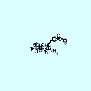 Nc1nc(CCCC2CCN(C(=O)OCC3CCOC3)CC2)nc2c1ncn2[C@@H]1O[C@H](C(=O)NC2CC2)[C@H](O)C1O